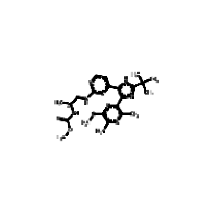 COC(=O)N[C@@H](C)CNc1nccc(-c2[nH]c(C(C)(C)C)nc2-c2nc(OC)c(N)nc2C)n1